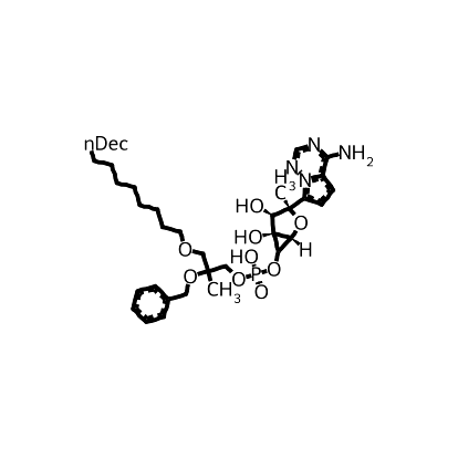 CCCCCCCCCCCCCCCCCCOCC(C)(COP(=O)(O)OC1[C@H]2O[C@@](C)(c3ccc4c(N)ncnn34)[C@H](O)[C@@]12O)OCc1ccccc1